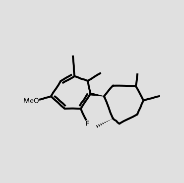 COC1=CC(F)=C([C@H]2CC(C)C(C)CC[C@@H]2C)C(C)C(C)=C1